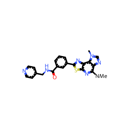 CNc1nc2sc(-c3cccc(C(=O)NCc4ccncc4)c3)nc2c2c1ncn2C